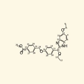 CCOc1ccc2[nH]c(C(OCC)c3ccc(OCc4ccc(C(=O)OC)cc4)cc3)nc2c1